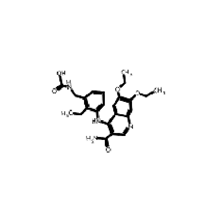 CCOc1cc2ncc(C(N)=O)c(Nc3cccc(CNC(=O)O)c3CC)c2cc1OCC